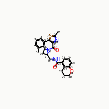 Cc1cccc(-c2sc(C)nc2C(=O)N2CCC2CNC(=O)c2cccc3c2CCCO3)c1